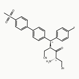 CC(C)C[C@H](N)C(=O)N(CC#N)[C@H](c1ccc(F)cc1)c1ccc(-c2ccc(S(C)(=O)=O)cc2)cc1